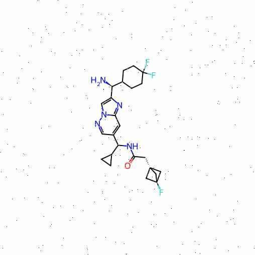 N[C@H](c1cn2ncc(C(NC(=O)C[C@]34C[C@@](F)(C3)C4)C3CC3)cc2n1)C1CCC(F)(F)CC1